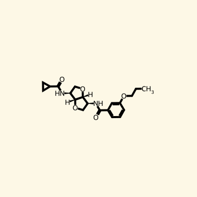 CCCOc1cccc(C(=O)N[C@H]2CO[C@H]3[C@@H]2OC[C@@H]3NC(=O)C2CC2)c1